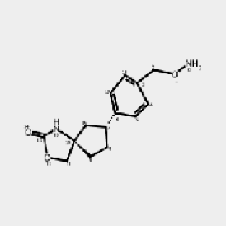 NOCc1ccc([C@@H]2CC[C@]3(COC(=O)N3)C2)cc1